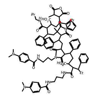 CCC(c1ccccc1)C(C(=O)NCCCNC(=O)c1ccc(N(C)C)cc1)C(CC(c1ccccc1)C1C(=O)N(CCCNC(=O)c2ccc(N(C)C)cc2)C(=O)C1CC(c1ccccc1)C1C(=O)N(CC(C)C)C(=O)C1(C)CC(c1ccccc1)C(C(=O)NCC(C)C)C(CC(c1ccccc1)C1C(=O)OC(=O)C1C)C(=O)O)C(=O)O